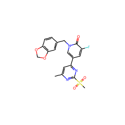 Cc1cc(-c2cc(F)c(=O)n(Cc3ccc4c(c3)OCO4)c2)nc(S(C)(=O)=O)n1